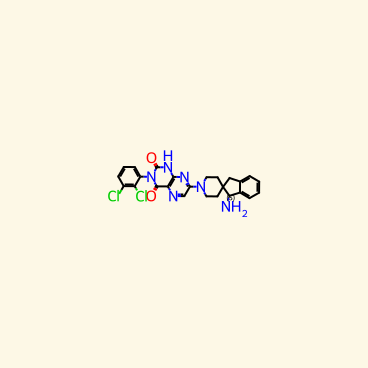 N[C@@H]1c2ccccc2CC12CCN(c1cnc3c(=O)n(-c4cccc(Cl)c4Cl)c(=O)[nH]c3n1)CC2